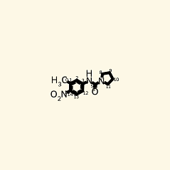 Cc1cc(NC(=O)N2CCCC2)ccc1[N+](=O)[O-]